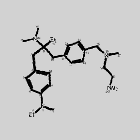 CCN(C)c1ccc(CC(CC)(Cc2ccc(CN(C)CCNC)cc2)N(C)C)cc1